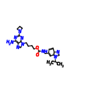 CC(C)n1cnc2ccc(CNC(=O)OCCCCn3cnc4c(N)nc(N5CCC5)nc43)cc21